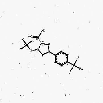 CC(C)(C)ON1CC(c2ccc(C(F)(F)F)cc2)C[C@H]1C(=O)O